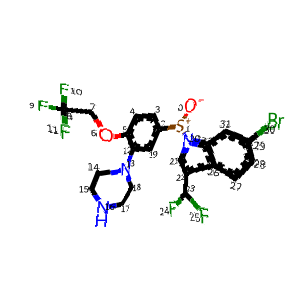 [O-][S+](c1ccc(OCC(F)(F)F)c(N2CCNCC2)c1)n1cc(C(F)F)c2ccc(Br)cc21